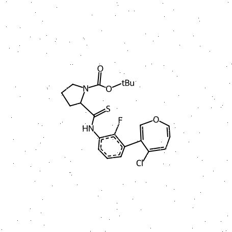 CC(C)(C)OC(=O)N1CCCC1C(=S)Nc1cccc(C2=COC=CC=C2Cl)c1F